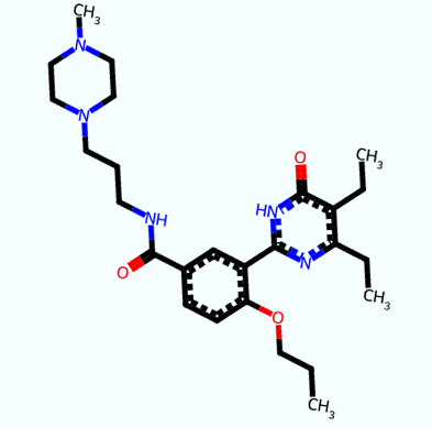 CCCOc1ccc(C(=O)NCCCN2CCN(C)CC2)cc1-c1nc(CC)c(CC)c(=O)[nH]1